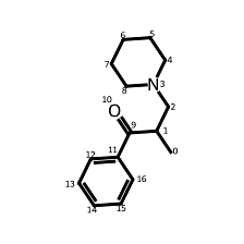 CC(CN1CCCCC1)C(=O)c1ccccc1